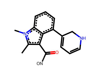 Cc1c(C(=O)N=O)c2c(C3=CC=CNC3)cccc2n1C